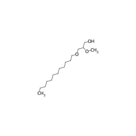 CCCCCCCCCCCCOCC(CO)OC